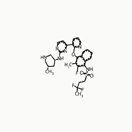 Cc1c(F)c(NS(=O)(=O)CCC(C)(F)F)c2ccccc2c1Oc1ncccc1-c1ccnc(N[C@@H]2CNC[C@H](C)C2)n1